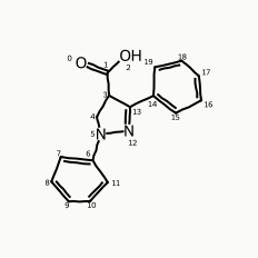 O=C(O)C1CN(c2ccccc2)N=C1c1ccccc1